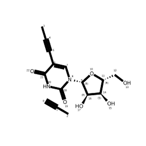 C#CC.CC#Cc1cn([C@@H]2O[C@H](CO)[C@@H](O)[C@H]2O)c(=O)[nH]c1=O